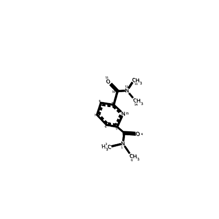 CN(C)C(=O)c1cccc(C(=O)N(C)C)n1